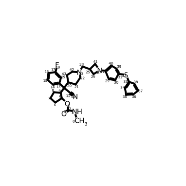 CNC(=O)OC1CCCC1C(C#N)(c1cccc(F)c1)C1CCN(CC2CN(c3ccc(Sc4ccccc4)cc3)C2)CC1